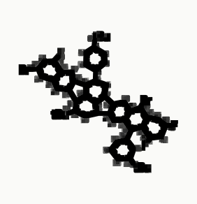 CC(C)(C)c1ccc(-c2cc3c4c(cc(C(C)(C)C)c5c4c2-c2cc4c(F)cc(Br)cc4cc2-5)-c2cc4c(-c5cccc(C(C)(C)C)c5)c5c(F)cc(F)cc5c(Br)c4cc2-3)cc1